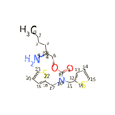 CCCC[C@H](N)COC(=O)N(Cc1cccs1)Cc1cccs1